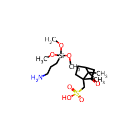 CC1(C)C2CCC1(CS(=O)(=O)O)C(=O)C2.CO[Si](CCCN)(OC)OC